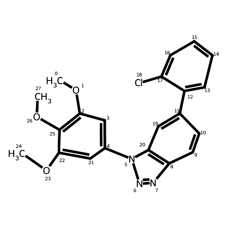 COc1cc(-n2nnc3ccc(-c4ccccc4Cl)cc32)cc(OC)c1OC